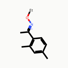 CCO/N=C(\C)c1ccc(C)cc1C